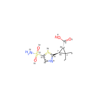 CC1(C)[C@@H](C(=O)O)[C@@H]1c1ncc(S(N)(=O)=O)s1